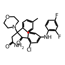 Cc1ccc(C(CC(N)=O)(C(=O)c2ccc(Nc3ccc(F)cc3F)cc2Cl)N2CCOCC2)cc1